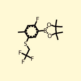 Cc1cc(F)c(B2OC(C)(C)C(C)(C)O2)cc1SCC(F)(F)F